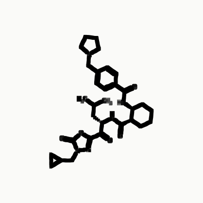 CC(C)C[C@H](NC(=O)[C@@H]1CCCC[C@@H]1NC(=O)c1ccc(CN2CCCC2)cc1)C(=O)c1nn(CC2CC2)c(=O)o1